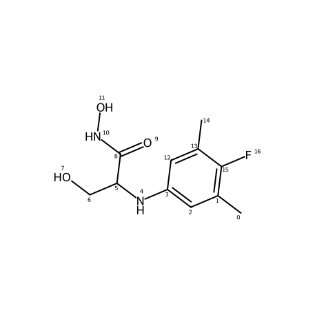 Cc1cc(NC(CO)C(=O)NO)cc(C)c1F